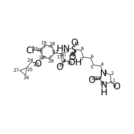 O=C1CN(CCCCCS(=O)(=O)N[C@H](C(=O)O)c2ccc(Cl)c(OCC3CC3)c2)C(=O)N1